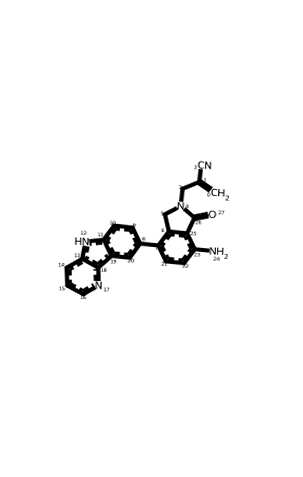 C=C(C#N)CN1Cc2c(-c3ccc4[nH]c5cccnc5c4c3)ccc(N)c2C1=O